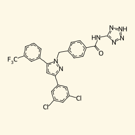 O=C(Nc1nn[nH]n1)c1ccc(Cn2nc(-c3cc(Cl)cc(Cl)c3)cc2-c2cccc(C(F)(F)F)c2)cc1